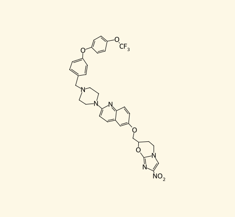 O=[N+]([O-])c1cn2c(n1)OC(COc1ccc3nc(N4CCN(Cc5ccc(Oc6ccc(OC(F)(F)F)cc6)cc5)CC4)ccc3c1)CC2